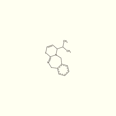 CC(C)C1C=CSC2=NCc3ccccc3CN21